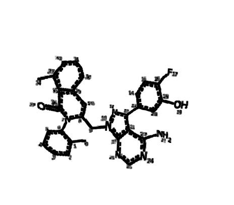 Cc1ccccc1-n1c(Cn2nc(-c3ccc(F)c(O)c3)c3c(N)ncnc32)cc2cccc(C)c2c1=O